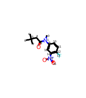 CN(C(=O)CC(C)(C)C)c1ccc(F)c([N+](=O)[O-])c1